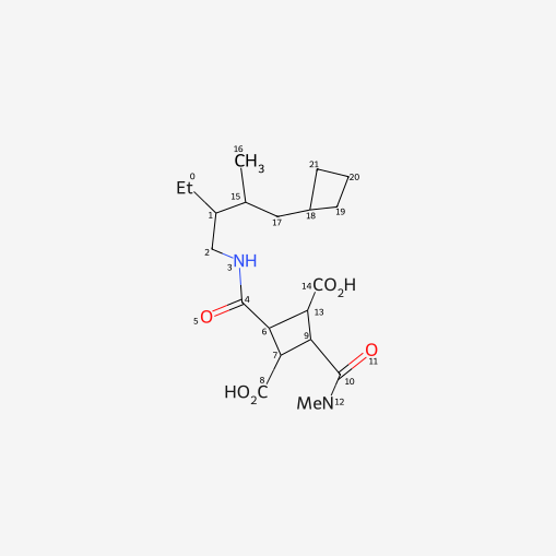 CCC(CNC(=O)C1C(C(=O)O)C(C(=O)NC)C1C(=O)O)C(C)CC1CCC1